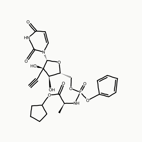 C#C[C@@]1(O)[C@H](O)[C@@H](COP(=O)(N[C@@H](C)C(=O)OC2CCCC2)Oc2ccccc2)O[C@H]1n1ccc(=O)[nH]c1=O